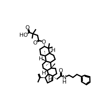 C=C(C)[C@@H]1CC[C@]2(CC(=O)NCCCc3ccccc3)CC[C@]3(C)[C@H](CC[C@@H]4[C@@]5(C)CC[C@H](OC(=O)CC(C)(C)C(=O)O)C(C)(C)[C@@H]5CC[C@]43C)[C@@H]12